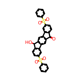 O=C1c2ccc(S(=O)(=O)c3ccccc3)cc2-c2cc3c(cc21)-c1cc(S(=O)(=O)c2ccccc2)ccc1C3O